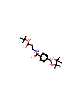 CC(C)(C)OC(=O)CCNC(=O)c1ccc(B2OC(C)(C)C(C)(C)O2)cc1